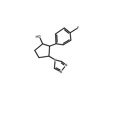 OC1CCC(n2cnnc2)C1c1ccc(F)cc1